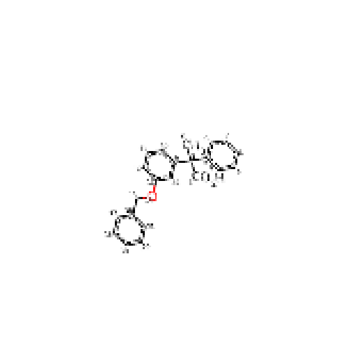 CC(C(=O)O)(c1ccccc1)c1cccc(OCc2ccccc2)c1